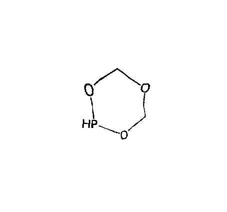 C1OCOPO1